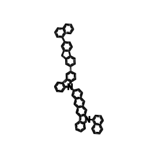 c1ccc2c(-c3ccc4c(c3)Cc3cc(-c5ccc6c(c5)c5ccccc5n6-c5ccc6cc7cc8c(cc7cc6c5)c5ccccc5n8-c5cccc6ccccc56)ccc3-4)cccc2c1